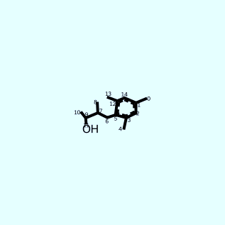 Cc1cc(C)c(CC(C)C(C)O)c(C)c1